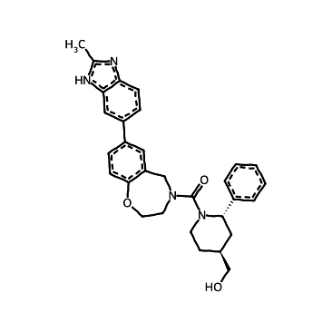 Cc1nc2ccc(-c3ccc4c(c3)CN(C(=O)N3CC[C@H](CO)C[C@H]3c3ccccc3)CCO4)cc2[nH]1